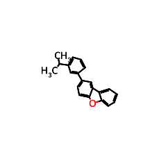 CC(C)c1cccc(-c2ccc3oc4ccccc4c3c2)c1